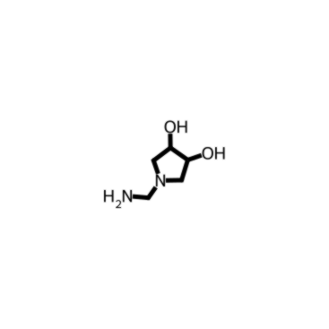 NCN1CC(O)C(O)C1